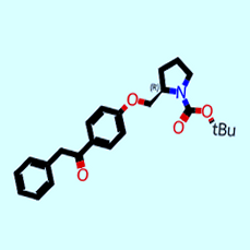 CC(C)(C)OC(=O)N1CCC[C@@H]1COc1ccc(C(=O)Cc2ccccc2)cc1